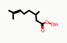 CC(C)=CCCC(C)CC(=O)OO